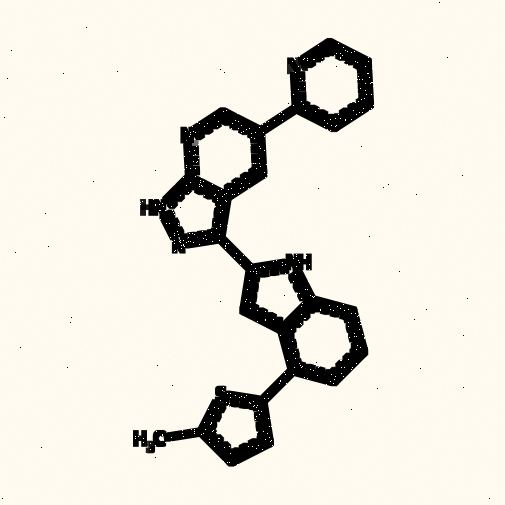 Cc1ccc(-c2cccc3[nH]c(-c4n[nH]c5ncc(-c6ccccn6)cc45)cc23)s1